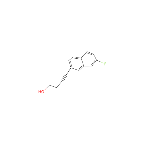 OCCC#Cc1ccc2ccc(F)cc2c1